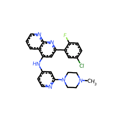 CN1CCN(c2cc(Nc3cc(-c4cc(Cl)ccc4F)nc4ncccc34)ccn2)CC1